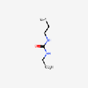 CSCCNC(=O)NCC(=O)O